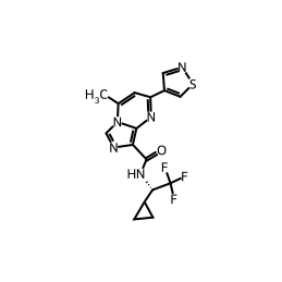 Cc1cc(-c2cnsc2)nc2c(C(=O)N[C@@H](C3CC3)C(F)(F)F)ncn12